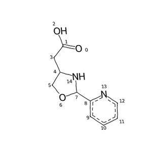 O=C(O)CC1COC(c2ccccn2)N1